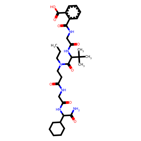 CCCN(CCC(=O)NCC(=O)NC(C(N)=O)C1CCCCC1)C(=O)C(NC(=O)CNC(=O)c1ccccc1C(=O)O)C(C)(C)C